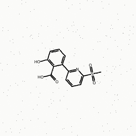 CS(=O)(=O)c1cccc(-c2cccc(O)c2C(=O)O)n1